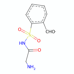 NCC(=O)NS(=O)(=O)c1ccccc1[C]=O